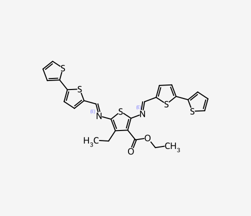 CCOC(=O)c1c(/N=C/c2ccc(-c3cccs3)s2)sc(/N=C/c2ccc(-c3cccs3)s2)c1CC